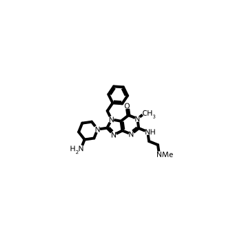 CNCCNc1nc2nc(N3CCCC(N)C3)n(Cc3ccccc3)c2c(=O)n1C